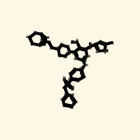 COc1c(Nc2cc(C)[nH]n2)nc(Sc2ccc(S(=O)(=O)Cc3ccccc3)cc2)nc1N1CCC(CCN2C3CCCC2CC3)CC1